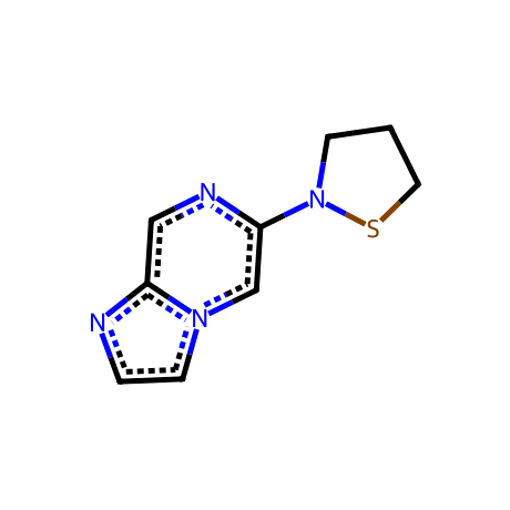 c1cn2cc(N3CCCS3)ncc2n1